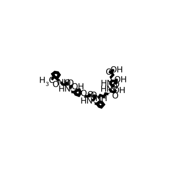 Cc1ccccc1C(=O)NCC(=O)N[C@@H](Cc1ccc(OCC(=O)N[C@@H](Cc2ccccc2)C(=O)NCCCC[C@H](NC(=O)N[C@@H](CCC(=O)O)C(=O)O)C(=O)O)cc1)C(=O)O